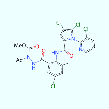 COC(=O)N(NC(=O)c1cc(Cl)cc(C)c1NC(=O)c1cc(Cl)c(Cl)n1-c1ncccc1Cl)C(C)=O